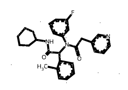 Cc1ccccc1C(C(=O)NC1CCCCC1)N(C(=O)Cc1cccnc1)c1cccc(F)c1